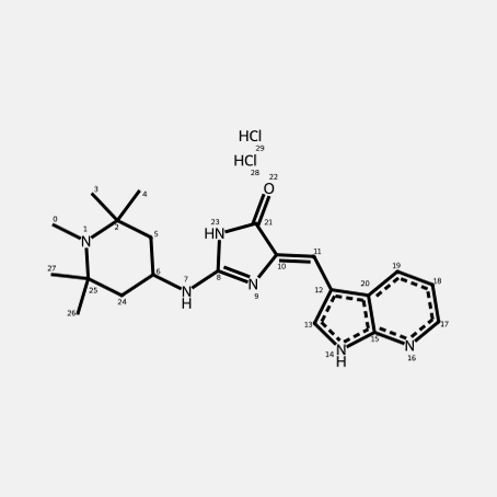 CN1C(C)(C)CC(NC2=N/C(=C\c3c[nH]c4ncccc34)C(=O)N2)CC1(C)C.Cl.Cl